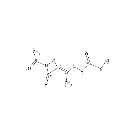 CC(=O)N1CC(=C(C)COC(=O)CCl)C1=O